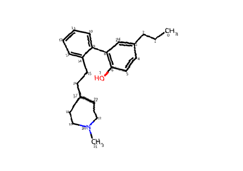 CCCc1ccc(O)c(-c2ccccc2CCC2CCN(C)CC2)c1